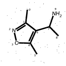 Cc1noc(C)c1C(C)N